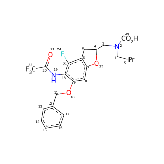 CC(C)CN(CC1Cc2c(cc(OCc3ccccc3)c(NC(=O)C(F)(F)F)c2F)O1)C(=O)O